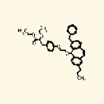 CCCc1ccc2c(c1)C=Cc1ccc(Cc3ccccc3)cc1C2OCCOc1ccc(CC(OCC)C(=O)OCC)cc1